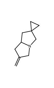 C=C1CC2CC3(CC3)CN2C1